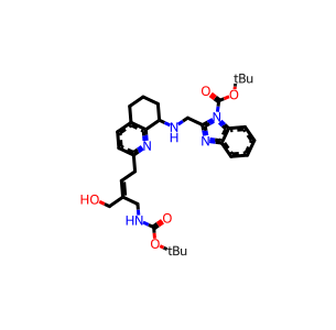 CC(C)(C)OC(=O)NC/C(=C\Cc1ccc2c(n1)C(NCc1nc3ccccc3n1C(=O)OC(C)(C)C)CCC2)CO